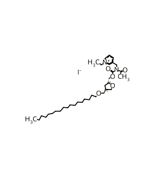 CCCCCCCCCCCCCCCCCCOC[C@@H]1CO[C@@H](COC(=O)N(Cc2ccc[n+](CC)c2)C(C)=O)C1.[I-]